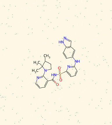 CC1CCN(c2ncccc2C(=O)NS(=O)(=O)c2cccc(Nc3ccc4[nH]ncc4c3)n2)C1(C)C